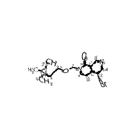 C[Si](C)(C)CCOCn1ccc2c(Br)cncc2c1=O